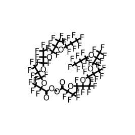 O=C(OOC(=O)C(F)(OC(F)(F)C(F)(OC(F)(F)C(F)(OC(F)(F)C(F)(OC(F)(F)C(F)(F)C(F)(F)F)C(F)(F)F)C(F)(F)F)C(F)(F)F)C(F)(F)F)C(F)(OC(F)(F)C(F)(OC(F)(F)C(F)(OC(F)(F)C(F)(OC(F)(F)C(F)(F)C(F)(F)F)C(F)(F)F)C(F)(F)F)C(F)(F)F)C(F)(F)F